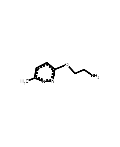 Cc1ccc(OCCN)nn1